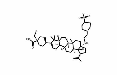 C=C(C)C1CC[C@]2(NCCN3CCC(S(C)(=O)=O)CC3)CC[C@]3(C)[C@H](CC[C@@H]4[C@@]5(C)CC=C(C6=CC[C@@](CF)(C(=O)O)CC6)C(C)(C)[C@@H]5CC[C@]43C)[C@@H]12